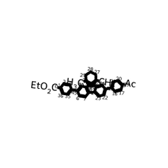 CCOC(=O)c1ccc(-c2ccc3c(c2)C2(c4cc(-c5ccc(C(C)=O)cc5)ccc4-3)C3(C)CCCC2(C)CCC3)cc1